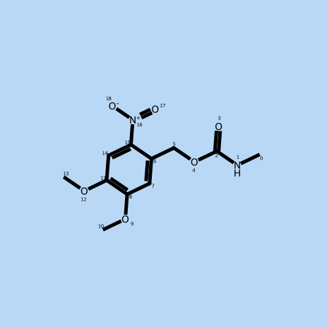 CNC(=O)OCc1cc(OC)c(OC)cc1[N+](=O)[O-]